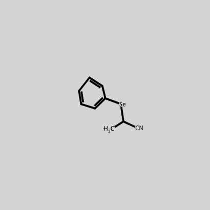 [CH2]C(C#N)[Se]c1ccccc1